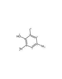 [2H]c1cc([2H])c(O)c(C)c1